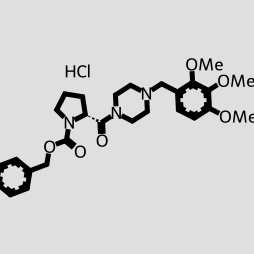 COc1ccc(CN2CCN(C(=O)[C@H]3CCCN3C(=O)OCc3ccccc3)CC2)c(OC)c1OC.Cl